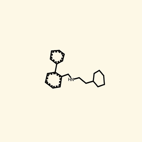 c1ccc(-c2ccccc2CNCCC2CCCCC2)cc1